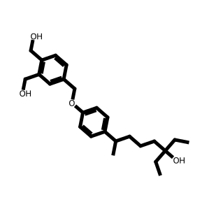 CCC(O)(CC)CCCC(C)c1ccc(OCc2ccc(CO)c(CO)c2)cc1